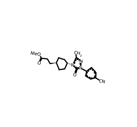 COC(=O)CC[C@H]1CC[C@H](n2c(C)nn(-c3ccc(C#N)cc3)c2=O)CC1